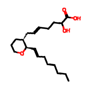 CCCCCCC=C[C@H]1OCCC[C@@H]1CC=CCCC(O)C(=O)O